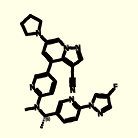 C[C@@H](c1ccc(-n2cc(F)cn2)nc1)N(C)c1ccc(-c2cc(N3CCCC3)cn3ncc(C#N)c23)cn1